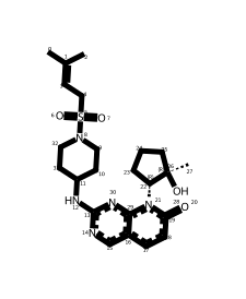 CC(C)=CCS(=O)(=O)N1CCC(Nc2ncc3ccc(=O)n([C@@H]4CCC[C@@]4(C)O)c3n2)CC1